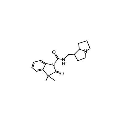 CC1(C)C(=O)N(C(=O)NC[C@@H]2CCN3CCCC23)c2ccccc21